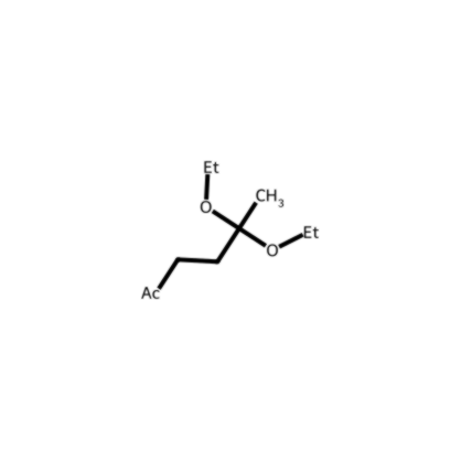 CCOC(C)(CCC(C)=O)OCC